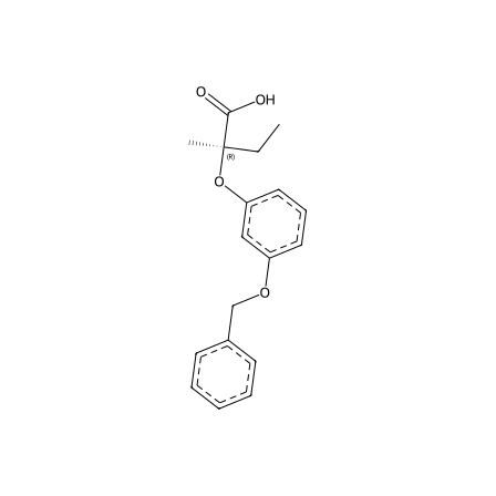 CC[C@@](C)(Oc1cccc(OCc2ccccc2)c1)C(=O)O